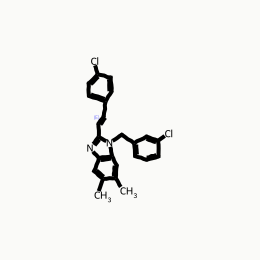 Cc1cc2nc(/C=C/c3ccc(Cl)cc3)n(Cc3cccc(Cl)c3)c2cc1C